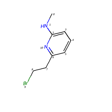 CNc1cccc(CCBr)n1